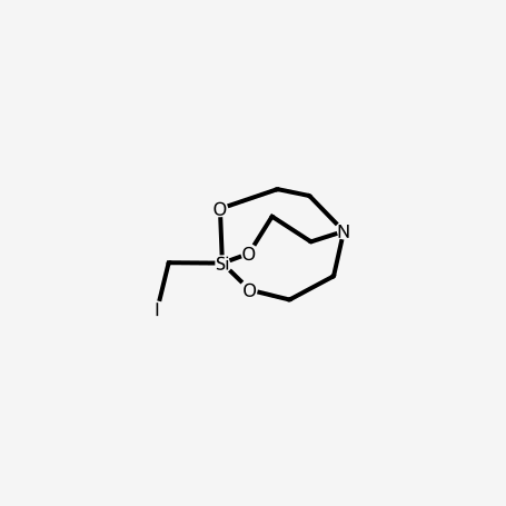 IC[Si]12OCCN(CCO1)CCO2